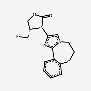 O=C1OC[C@@H](CF)N1c1cn2c(n1)-c1ccccc1OCC2